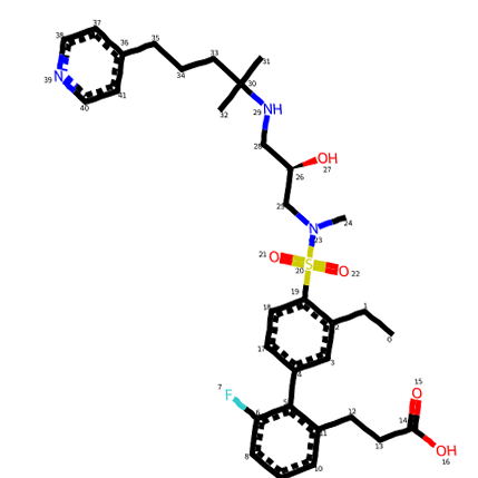 CCc1cc(-c2c(F)cccc2CCC(=O)O)ccc1S(=O)(=O)N(C)C[C@H](O)CNC(C)(C)CCCc1ccncc1